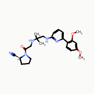 COc1ccc(-c2cccc(NCC(C)(C)NCC(=O)N3CCC[C@H]3C#N)n2)c(OC)c1